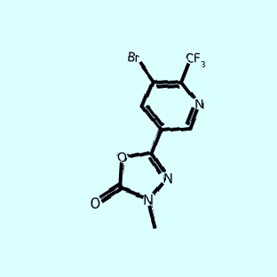 Cn1nc(-c2cnc(C(F)(F)F)c(Br)c2)oc1=O